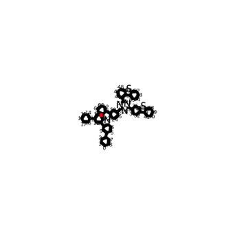 c1ccc(-c2ccc3c(c2)c2cc(-c4ccccc4)ccc2n3-c2ccc(-c3nc(-c4ccc5c(c4)sc4ccccc45)nc(-c4cccc5sc6ccccc6c45)n3)cc2-c2ccccc2)cc1